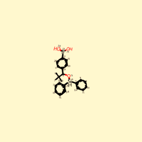 CC(C)(C)C(O[SiH](c1ccccc1)c1ccccc1)c1ccc(B(O)O)cc1